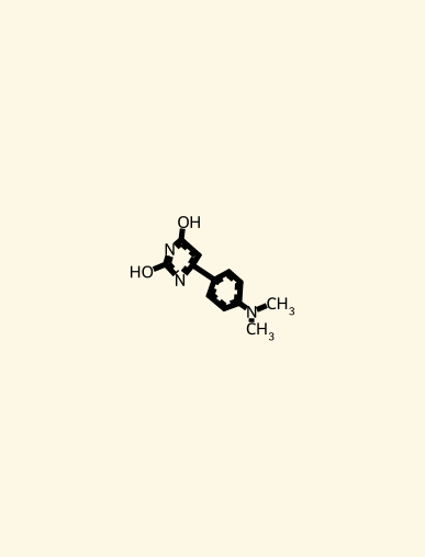 CN(C)c1ccc(-c2cc(O)nc(O)n2)cc1